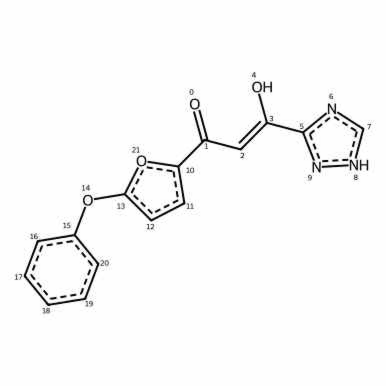 O=C(C=C(O)c1nc[nH]n1)c1ccc(Oc2ccccc2)o1